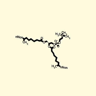 CCCCCCCCCC(C)CCCCCCC(=O)OC[C@H](COP(=O)([O-])OCC[N+](C)(C)C)OC(=O)CCCCCCC(C)CCCCCCCCC